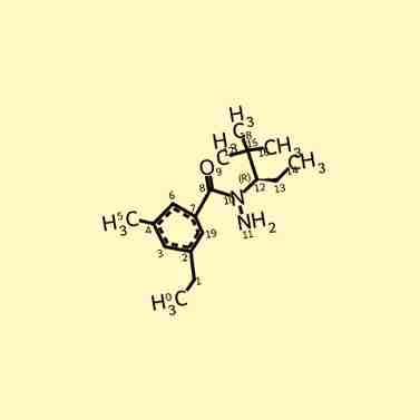 CCc1cc(C)cc(C(=O)N(N)[C@H](CC)C(C)(C)C)c1